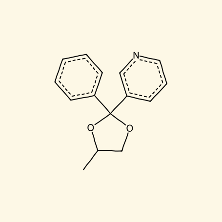 CC1COC(c2ccccc2)(c2cccnc2)O1